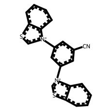 N#Cc1cc(-[n+]2csc3ccccc32)cc(-[n+]2csc3ccccc32)c1